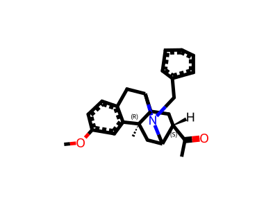 COc1ccc2c(c1)[C@]1(C)CC3[C@@H](C(C)=O)CC1C(C2)N3Cc1ccccc1